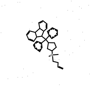 C=CCC[Si](C)(C)C1CCC(C(c2ccccc2)(c2ccccc2)C2C3C=CC=CC3C3C=CC=CC32)C1